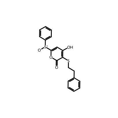 O=c1oc([S+]([O-])c2ccccc2)cc(O)c1SCCc1ccccc1